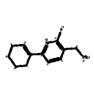 CC(C)(C)Cc1ccc(C2=CCCCC2)nc1F